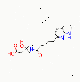 O=C(O)CC1(O)CN(C(=O)CCCCc2ccc3c(n2)NCCC3)C1